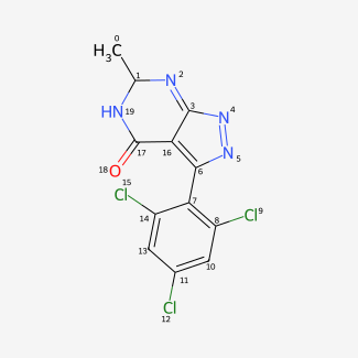 CC1N=C2N=NC(c3c(Cl)cc(Cl)cc3Cl)=C2C(=O)N1